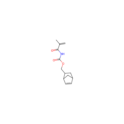 C=C(C)C(=O)NC(=O)OCC1CC2C=CC1C2